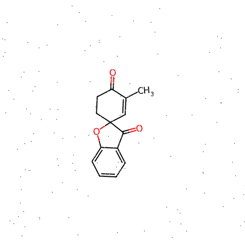 CC1=CC2(CCC1=O)Oc1ccccc1C2=O